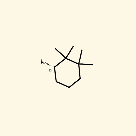 CC1(C)CCC[C@H](I)C1(C)C